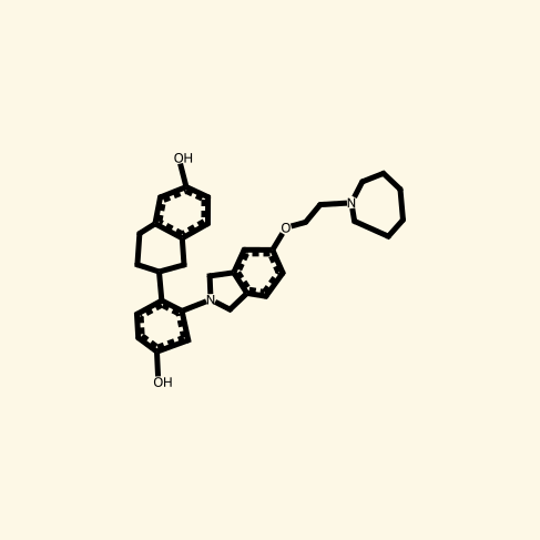 Oc1ccc2c(c1)CCC(c1ccc(O)cc1N1Cc3ccc(OCCN4CCCCCC4)cc3C1)C2